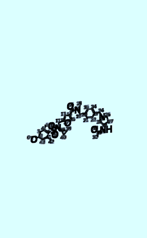 COc1cc(C)c(S(=O)(=O)N(Cc2cc(C(=O)N(C)Cc3ccc(CN4CCC(NC(C)=O)C4)cc3)co2)C2CC2)c(C)c1